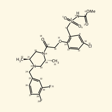 COC(=O)NS(=O)(=O)Cc1cc(Cl)ccc1OCC(=O)N1C[C@H](C)N(Cc2ccc(F)c(F)c2)C[C@H]1C